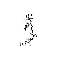 CC(C)(C)OC(=O)NCC(=O)OCCCC(CC(OF)(OF)OF)N=[N+]=[N-]